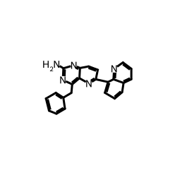 Nc1nc(Cc2ccccc2)c2nc(-c3cccc4cccnc34)ccc2n1